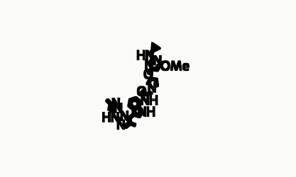 COc1cc(OC2CCN(CC(=O)Nc3cccc4c(-c5nc(Nc6cc(C)n(C)n6)ncc5C)c[nH]c34)C2)nc(NC2CC2)n1